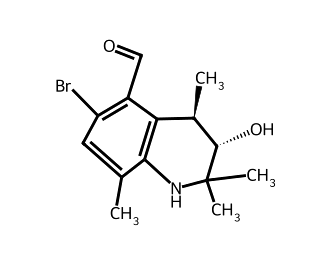 Cc1cc(Br)c(C=O)c2c1NC(C)(C)[C@@H](O)[C@@H]2C